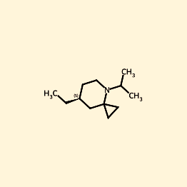 CC[C@H]1CCN(C(C)C)C2(CC2)C1